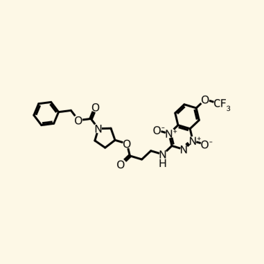 O=C(CCNc1n[n+]([O-])c2cc(OC(F)(F)F)ccc2[n+]1[O-])OC1CCN(C(=O)OCc2ccccc2)C1